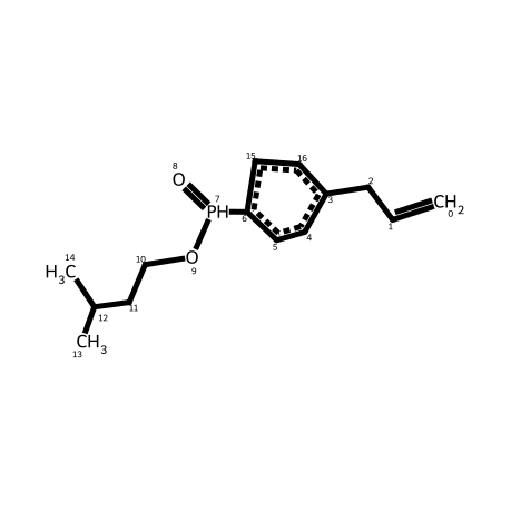 C=CCc1ccc([PH](=O)OCCC(C)C)cc1